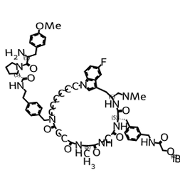 CC[C@@H](C)OCC(=O)NCc1cccc(C[C@@H]2NC(=O)CNC(=O)[C@H](C)NC(=O)CCC(=O)N(Cc3ccc(CCNC(=O)[C@@H]4CCCN4C(=O)[C@@H](N)Cc4ccc(OC)cc4)cc3)CCCCCCn3cc(c4cc(F)ccc43)C[C@@H](CNC)NC2=O)c1